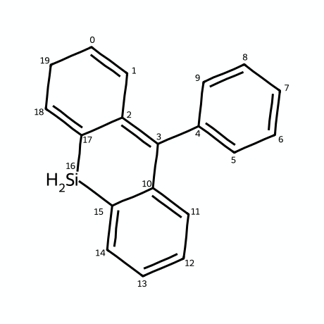 C1=CC2=C(c3ccccc3)c3ccccc3[SiH2]C2=CC1